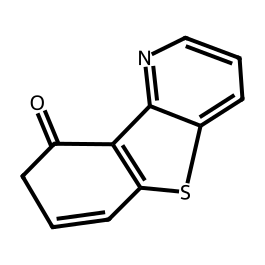 O=C1CC=Cc2sc3cccnc3c21